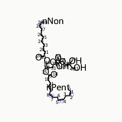 CCCCC/C=C\C/C=C\C/C=C\CCCCC(=O)O[C@H](COC(=O)CCCCCCC/C=C\CCCCCCCCC)COP(=O)(O)OC[C@@H](O)CO